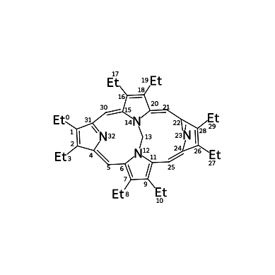 CCC1=C(CC)/C2=C/c3c(CC)c(CC)c4n3Cn3/c(c(CC)c(CC)/c3=C/C3=NC(=C\4)/C(CC)=C3CC)=C\C1=N2